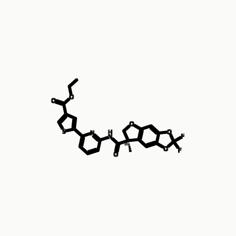 CCOC(=O)c1csc(-c2cccc(NC(=O)[C@@]3(C)COc4cc5c(cc43)OC(F)(F)O5)n2)c1